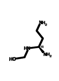 NCC[C@@H](N)NCO